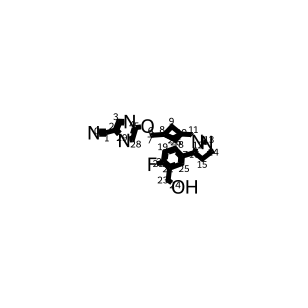 N#Cc1cnc(OCC23CC(CN4N=CCC4c4ccc(F)c(CO)c4)(C2)C3)cn1